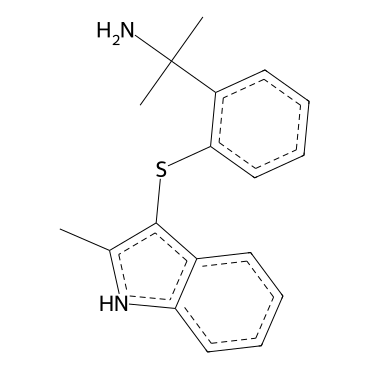 Cc1[nH]c2ccccc2c1Sc1ccccc1C(C)(C)N